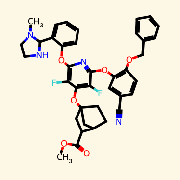 COC(=O)C1CC2(Oc3c(F)c(Oc4cc(C#N)ccc4OCc4ccccc4)nc(Oc4ccccc4C4NCCN4C)c3F)CCC1C2